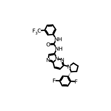 O=C(Nc1cccc(C(F)(F)F)c1)Nc1cnc2ccc(N3CCC[C@@H]3c3cc(F)ccc3F)nn12